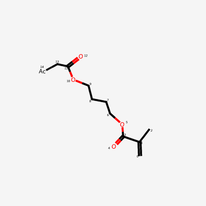 C=C(C)C(=O)OCCCCOC(=O)CC(C)=O